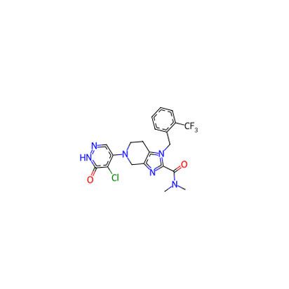 CN(C)C(=O)c1nc2c(n1Cc1ccccc1C(F)(F)F)CCN(c1cn[nH]c(=O)c1Cl)C2